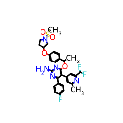 Cc1cc(-c2c(OC(C)c3ccc(OC4CCN(S(C)(=O)=O)C4)cc3)nc(N)nc2-c2ccc(F)cc2)cc(C(F)F)n1